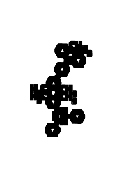 CC1(C)c2ccccc2N(c2ccc(-c3ccc4c(c3)C(C)(C)c3cc(-c5nc(-c6ccccc6)nc(-c6ccccc6)n5)ccc3C4(C)C)cc2)c2ccccc21